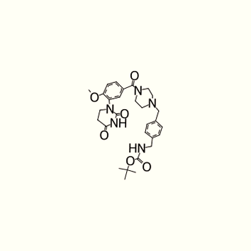 COc1ccc(C(=O)N2CCN(Cc3ccc(CNC(=O)OC(C)(C)C)cc3)CC2)cc1N1CCC(=O)NC1=O